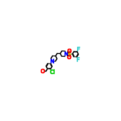 O=Cc1ccc(N2CCC(CC3CCN(S(=O)(=O)c4cc(F)cc(F)c4)CC3)CC2)cc1Cl